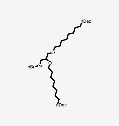 CCCCCCCCCCCCCCCCCCOCC(C[Se]CCCC)OCCCCCCCCCCCCCCCCCC